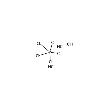 Cl.Cl.Cl.ClP(Cl)(Cl)(Cl)Cl